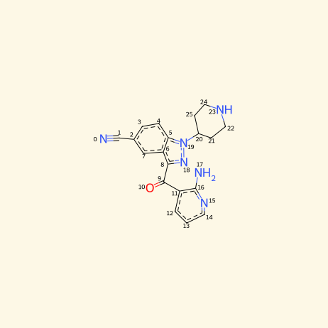 N#Cc1ccc2c(c1)c(C(=O)c1cccnc1N)nn2C1CCNCC1